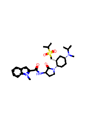 CC(C)N(C)[C@@H]1CC[C@H](N2CCC(NC(=O)c3cc4ccccc4n3C)C2=O)[C@H](CS(=O)(=O)C(C)C)C1